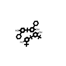 CC(C)(C)c1cc(C(C)(C)c2ccc(O)c(C(C)(C)C)c2)ccc1O.CC(C)(c1ccc(O)c(C2CCCCC2)c1)c1ccc(O)c(C2CCCCC2)c1